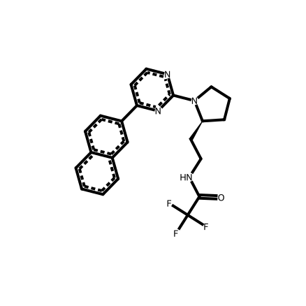 O=C(NCC[C@@H]1CCCN1c1nccc(-c2ccc3ccccc3c2)n1)C(F)(F)F